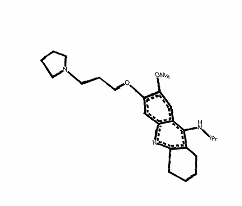 COc1cc2c(NC(C)C)c3c(nc2cc1OCCCN1CCCC1)CCCC3